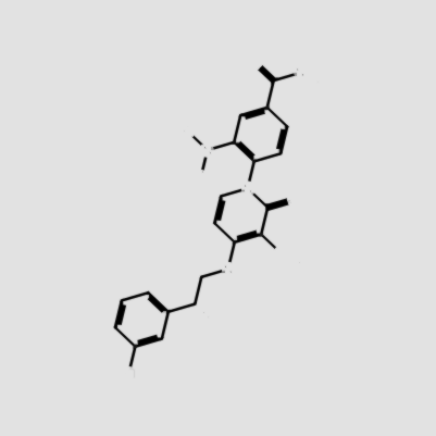 CN(C)c1cc(C(N)=O)ccc1-n1ccc(NC[C@H](O)c2cccc(Cl)c2)c(C(=O)O)c1=O